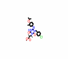 COC(=O)[C@@H](C)[C@H](C)n1c(=O)[nH]/c(=N\c2ccc(OC(C)C)c(C)c2)n(Cc2ccc(Cl)cc2)c1=O